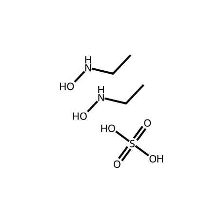 CCNO.CCNO.O=S(=O)(O)O